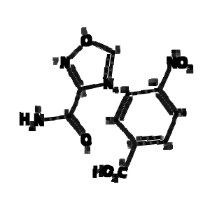 NC(=O)c1ncon1.O=C(O)c1ccc([N+](=O)[O-])cc1